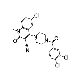 Cn1c(=O)c(C#N)c(N2CCN(C(=O)c3ccc(Cl)c(Cl)c3)CC2)c2cc(Cl)ccc21